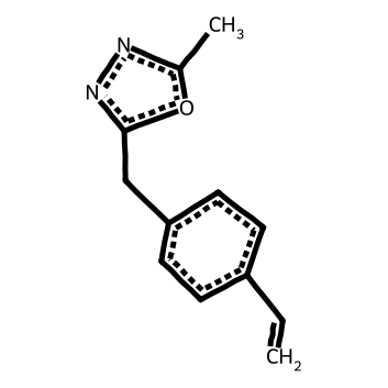 C=Cc1ccc(Cc2nnc(C)o2)cc1